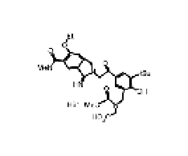 Br.CCOc1cc2c(cc1C(=O)NC)C(=N)N(CC(=O)c1cc(CN(CC(=O)O)C(=O)OC)c(O)c(C(C)(C)C)c1)C2